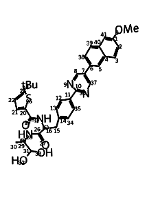 COc1ccc2cc(-c3cnc(-c4ccc(C[C@H](NC(=O)c5ccc(C(C)(C)C)s5)C(=O)N[C@H](C)C(O)O)cc4)nc3)ccc2c1